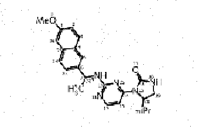 COc1ccc2cc([C@H](C)Nc3nccc(N4C(=O)NCC4C(C)C)n3)ccc2c1